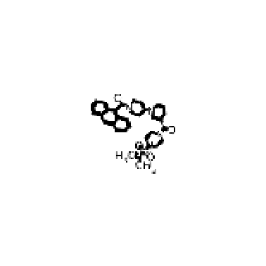 CN(C)S(=O)(=O)N1CCN(C(=O)[C@@H]2CCCN(C3CCN(C(=O)c4c5ccccc5cc5ccccc45)CC3)C2)CC1